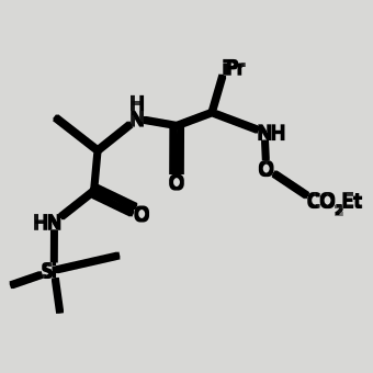 CCOC(=O)ONC(C(=O)NC(C)C(=O)N[Si](C)(C)C)C(C)C